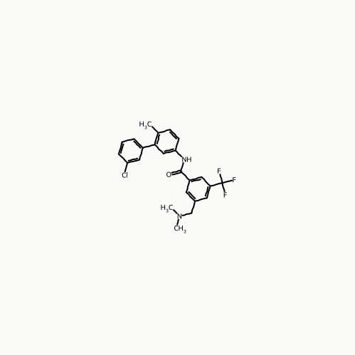 Cc1ccc(NC(=O)c2cc(CN(C)C)cc(C(F)(F)F)c2)cc1-c1cccc(Cl)c1